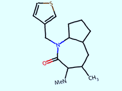 CNC1C(=O)N(Cc2ccsc2)C2CCCC2CC1C